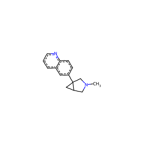 CN1CC2CC2(c2ccc3ncccc3c2)C1